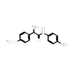 COc1ccc(C(N)C(=O)Nc2ccc(C(C)(C)C)cc2)cc1